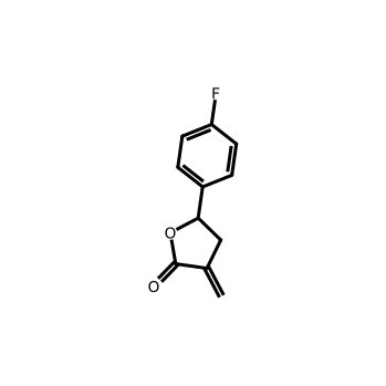 C=C1CC(c2ccc(F)cc2)OC1=O